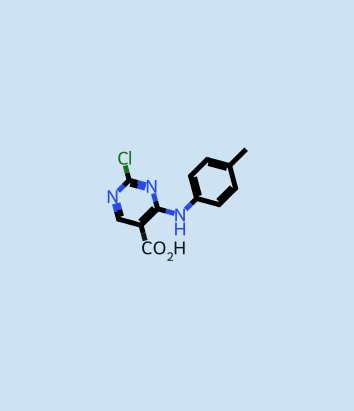 Cc1ccc(Nc2nc(Cl)ncc2C(=O)O)cc1